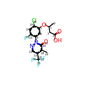 [CH2]C(CC(=O)O)Oc1cc(-n2ncc(C(F)(F)F)c(C)c2=O)c(F)cc1Cl